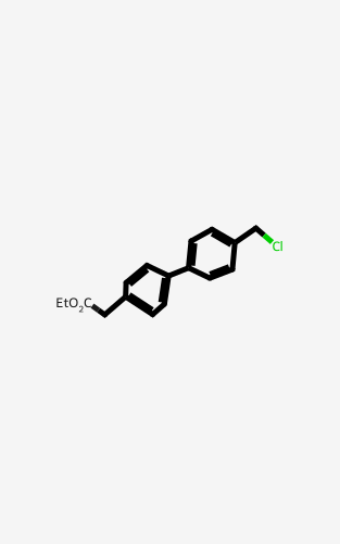 CCOC(=O)Cc1ccc(-c2ccc(CCl)cc2)cc1